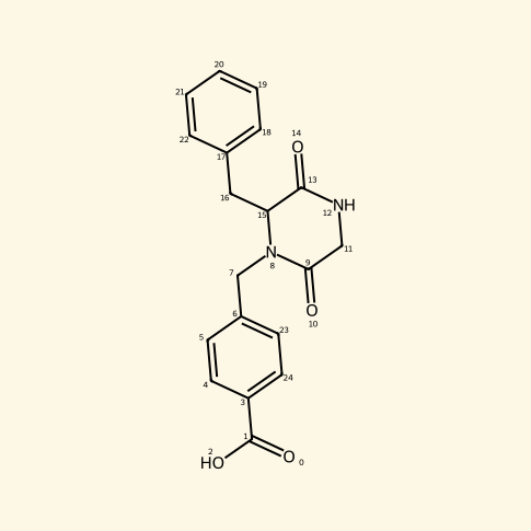 O=C(O)c1ccc(CN2C(=O)CNC(=O)C2Cc2ccccc2)cc1